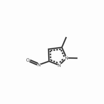 Cc1cc(N=O)nn1C